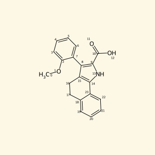 COc1ccccc1-c1c(C(=O)O)[nH]c2c1CCc1ccccc1-2